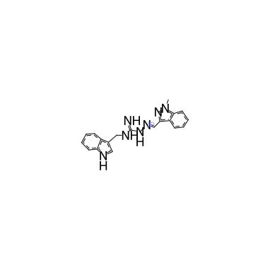 Cn1nc(/C=N/NC(=N)NCc2c[nH]c3ccccc23)c2ccccc21